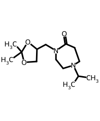 CC(C)N1CCC(=O)N(CC2COC(C)(C)O2)CC1